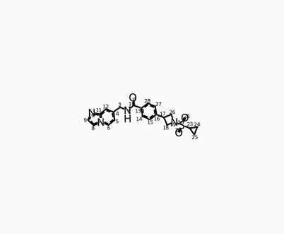 O=C(NCc1ccn2ccnc2c1)c1ccc(C2CN(S(=O)(=O)C3CC3)C2)cc1